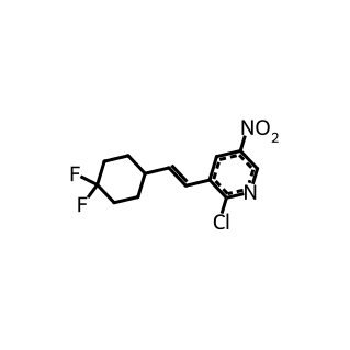 O=[N+]([O-])c1cnc(Cl)c(C=CC2CCC(F)(F)CC2)c1